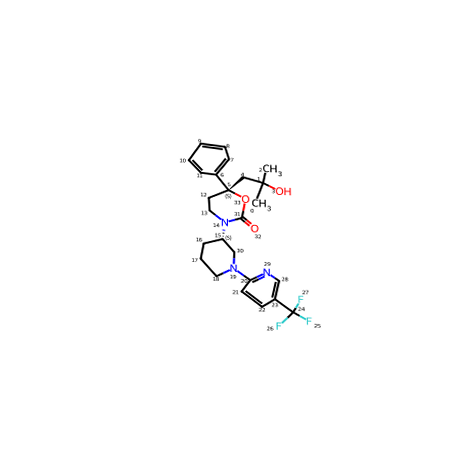 CC(C)(O)C[C@]1(c2ccccc2)CCN([C@H]2CCCN(c3ccc(C(F)(F)F)cn3)C2)C(=O)O1